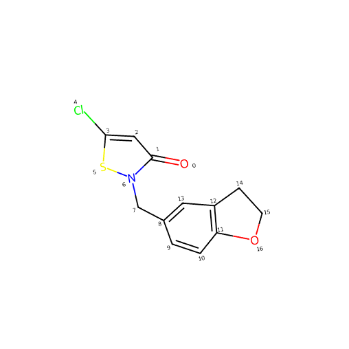 O=c1cc(Cl)sn1Cc1ccc2c(c1)CCO2